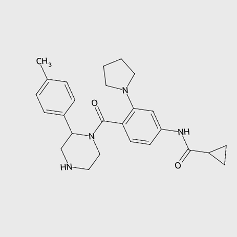 Cc1ccc(C2CNCCN2C(=O)c2ccc(NC(=O)C3CC3)cc2N2CCCC2)cc1